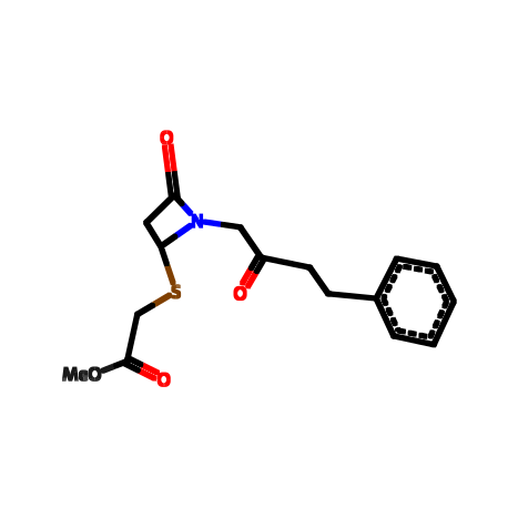 COC(=O)CSC1CC(=O)N1CC(=O)CCc1ccccc1